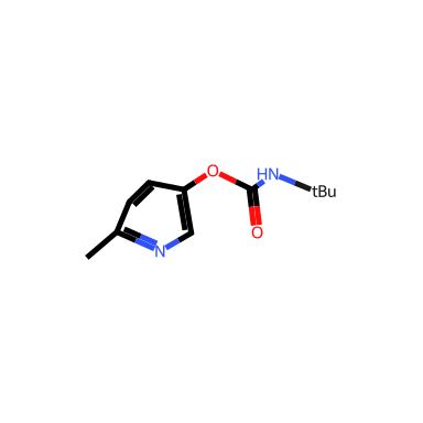 Cc1ccc(OC(=O)NC(C)(C)C)cn1